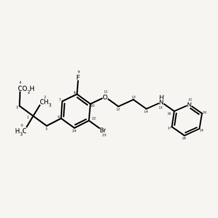 CC(C)(CC(=O)O)Cc1cc(F)c(OCCCNc2ccccn2)c(Br)c1